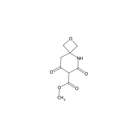 COC(=O)C1C(=O)CC2(COC2)NC1=O